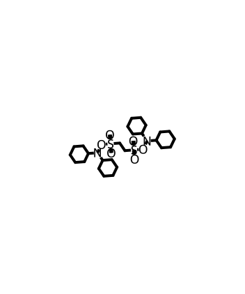 O=S(=O)(CCS(=O)(=O)ON(C1CCCCC1)C1CCCCC1)ON(C1CCCCC1)C1CCCCC1